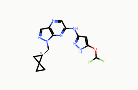 FC(F)Oc1cc(Nc2cnc3cnn(C[C@H]4CC45CC5)c3n2)n[nH]1